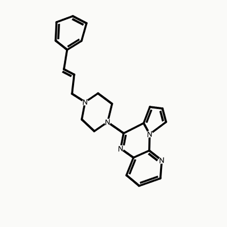 C(=Cc1ccccc1)CN1CCN(c2nc3cccnc3n3cccc23)CC1